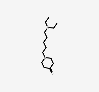 CCN(CC)CCCCCN1CCC(=O)CC1